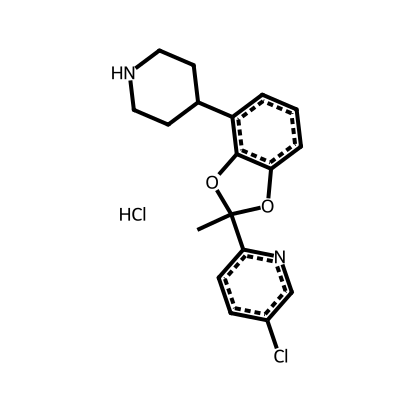 CC1(c2ccc(Cl)cn2)Oc2cccc(C3CCNCC3)c2O1.Cl